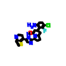 Nc1ccc(Cl)c(F)c1C1=CC(=O)N2C(CC[C@H]2c2ncc(-c3ccnc4ccsc34)[nH]2)C1